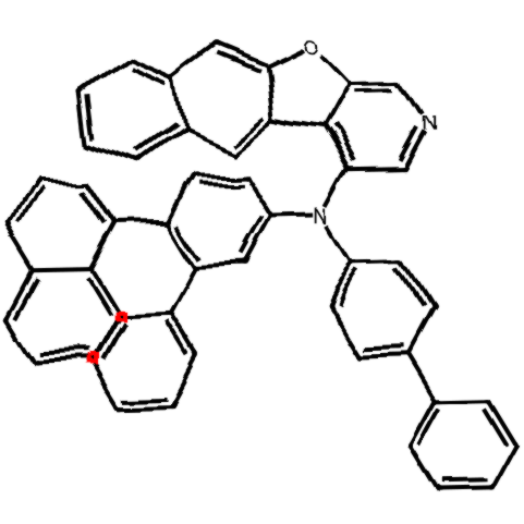 c1ccc(-c2ccc(N(c3ccc(-c4cccc5ccccc45)c(-c4ccccc4)c3)c3cncc4oc5cc6ccccc6cc5c34)cc2)cc1